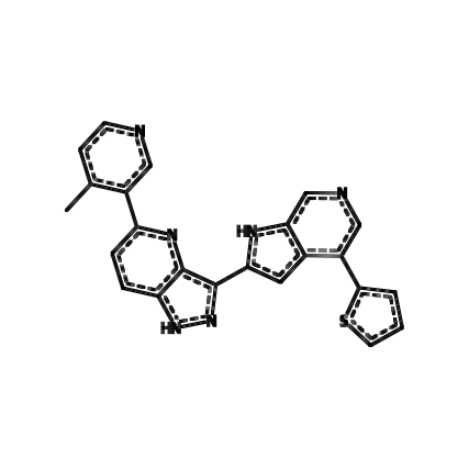 Cc1ccncc1-c1ccc2[nH]nc(-c3cc4c(-c5cccs5)cncc4[nH]3)c2n1